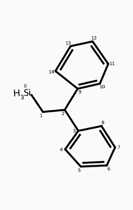 [SiH3]CC(c1ccccc1)c1ccccc1